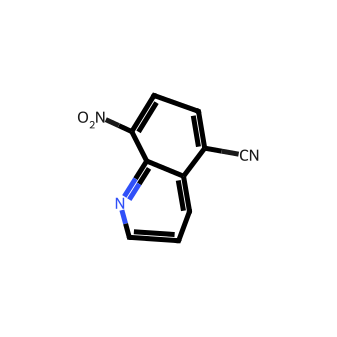 N#Cc1ccc([N+](=O)[O-])c2ncccc12